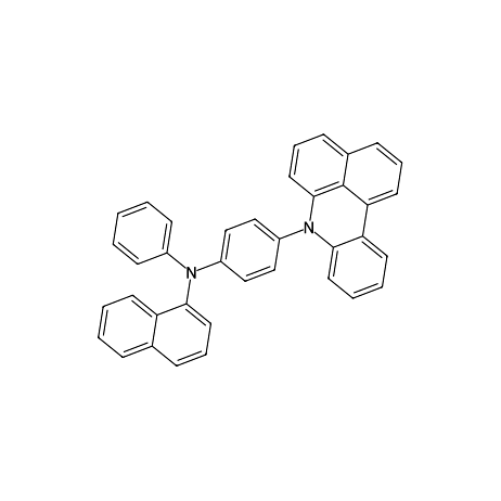 c1ccc(N(c2ccc(N3c4ccccc4-c4cccc5cccc3c45)cc2)c2cccc3ccccc23)cc1